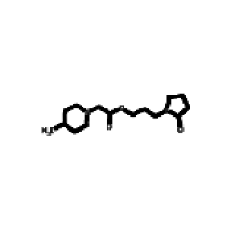 CC1CCN(CC(=O)OCCCN2CCCC2=O)CC1